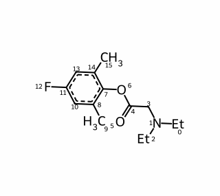 CCN(CC)CC(=O)Oc1c(C)cc(F)cc1C